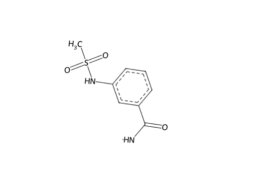 CS(=O)(=O)Nc1cccc(C([NH])=O)c1